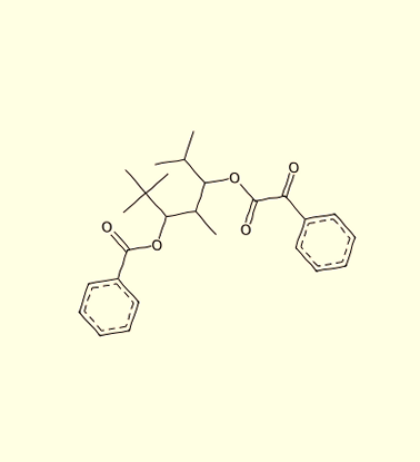 CC(C)C(OC(=O)C(=O)c1ccccc1)C(C)C(OC(=O)c1ccccc1)C(C)(C)C